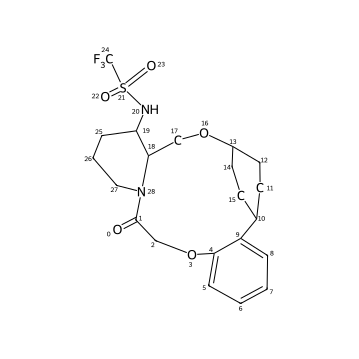 O=C1COc2ccccc2C2CCC(CC2)OCC2C(NS(=O)(=O)C(F)(F)F)CCCN12